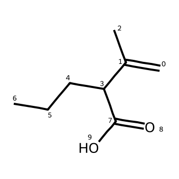 C=C(C)C(CCC)C(=O)O